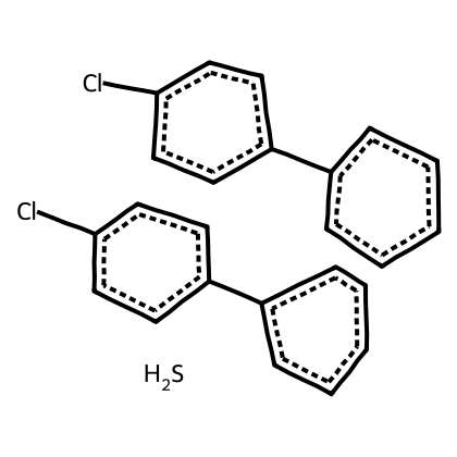 Clc1ccc(-c2ccccc2)cc1.Clc1ccc(-c2ccccc2)cc1.S